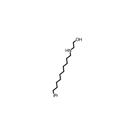 CC(C)CCCCCCCCCCNCCO